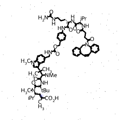 CNC(C(=O)N[C@H](C(=O)N(C)[C@H](/C=C(\C)C(=O)O)C(C)C)C(C)(C)C)C(C)(C)c1cn(C)c2ccc(CNC(=O)OCc3ccc(NC(=O)[C@H](CCCNC(N)=O)NC(=O)[C@@H](NC(=O)CCC(=O)N4Cc5ccccc5C#Cc5ccccc54)C(C)C)cc3)cc12